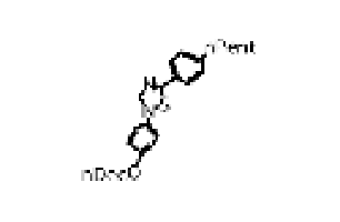 CCCCCCCCCCOc1ccc(N2CN=C(c3ccc(CCCCC)cc3)S2)cc1